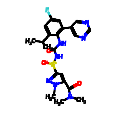 CC(C)c1cc(F)cc(-c2cncnc2)c1NC(=O)N[S+]([O-])c1cc(C(=O)N(C)C)n(C)n1